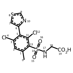 Cc1cc(Cl)c(-c2cscn2)c(Cl)c1S(=O)(=O)NCC(=O)O